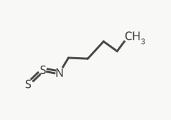 CCCCCN=S=S